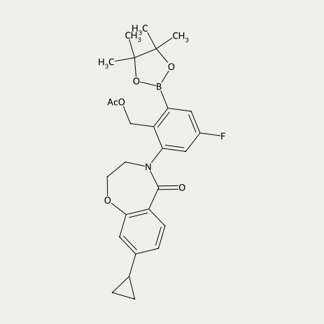 CC(=O)OCc1c(B2OC(C)(C)C(C)(C)O2)cc(F)cc1N1CCOc2cc(C3CC3)ccc2C1=O